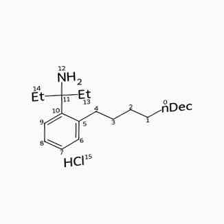 CCCCCCCCCCCCCCc1ccccc1C(N)(CC)CC.Cl